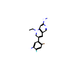 CCN1CC(c2cc(N)c(F)cc2Br)=Cc2cnc(NC)cc21